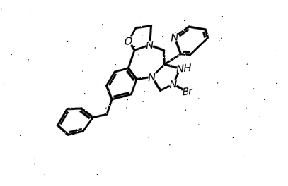 BrN1CN2c3cc(Cc4ccccc4)ccc3C3OCCN3CC2(c2ccccn2)N1